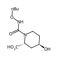 CCCCONC(=O)N1CC[C@@H](O)C[C@@H]1C(=O)O